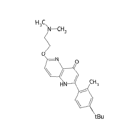 Cc1cc(C(C)(C)C)ccc1-c1cc(=O)c2nc(OCCN(C)C)ccc2[nH]1